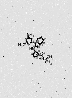 Cc1nc(N)cc(-c2c(Nc3cccc(C(=O)NC(C)C)c3)nc3ccccn23)n1